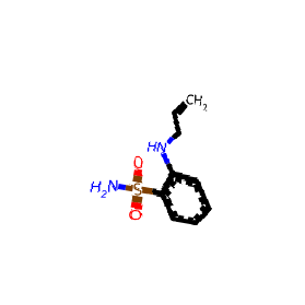 C=CCNc1ccccc1S(N)(=O)=O